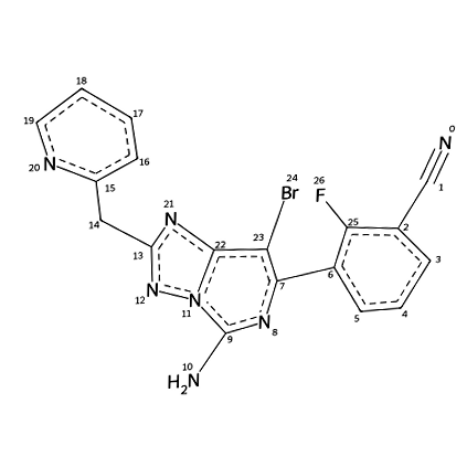 N#Cc1cccc(-c2nc(N)n3nc(Cc4ccccn4)nc3c2Br)c1F